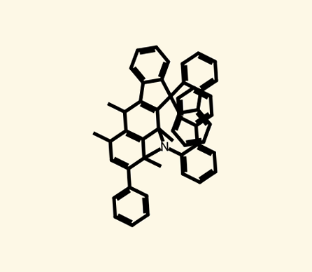 CC1C=C(c2ccccc2)C2(C)C3=C1C(C)C1=C(C4(c5ccccc51)c1ccccc1-c1ccccc14)C3(C)N2c1ccccc1-c1ccccc1